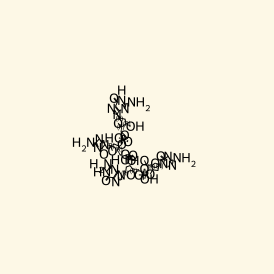 Nc1ncn([C@H]2CC(OP(=O)(O)OC[C@H]3O[C@@H](n4cnc5c(=O)[nH]c(N)nc54)CC3OP(=O)(O)OC[C@H]3O[C@@H](n4cnc(N)nc4=O)CC3OP(=O)(O)OC[C@H]3O[C@@H](n4cnc5c(=O)[nH]c(N)nc54)C[C@H]3O)[C@@H](CO)O2)c(=O)n1